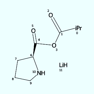 CC(C)C(=O)OC(=O)[C@@H]1CCCN1.[LiH]